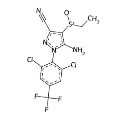 CC[S+]([O-])c1c(C#N)nn(-c2c(Cl)cc(C(F)(F)F)cc2Cl)c1N